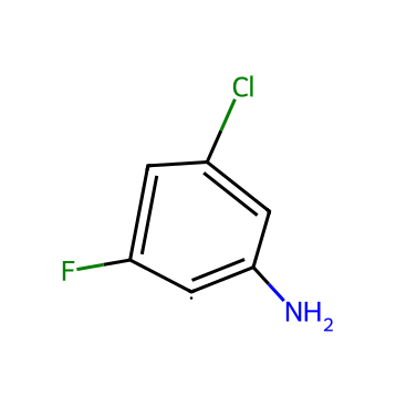 Nc1[c]c(F)cc(Cl)c1